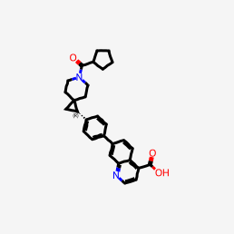 O=C(O)c1ccnc2cc(-c3ccc([C@@H]4CC45CCN(C(=O)C4CCCC4)CC5)cc3)ccc12